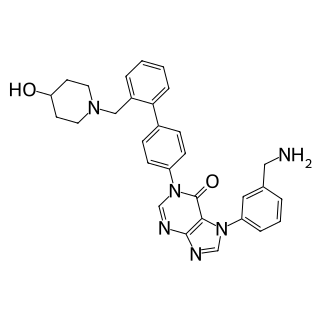 NCc1cccc(-n2cnc3ncn(-c4ccc(-c5ccccc5CN5CCC(O)CC5)cc4)c(=O)c32)c1